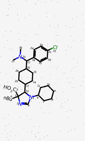 CCCCC1(C(=O)O)N=CN(C2CCCCC2)C1C1CCC(C(c2ccc(Cl)cc2)N(C)C)CC1